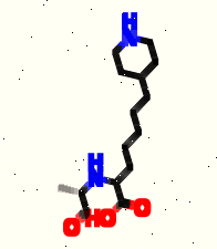 C[C@@H](C=O)NC(CCCCCC1CCNCC1)C(=O)O